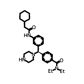 CCN(CC)C(=O)c1ccc([C@H](c2cccc(NC(=O)CC3CCCCC3)c2)N2CCNCC2)cc1